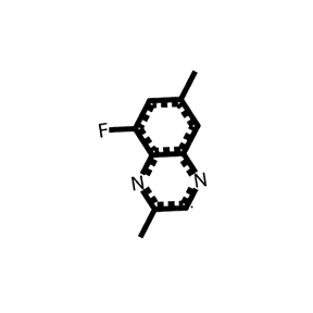 Cc1cc(F)c2nc(C)[c]nc2c1